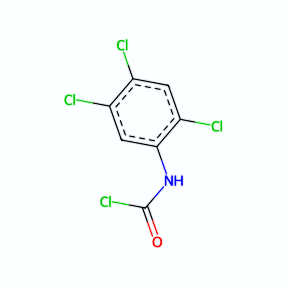 O=C(Cl)Nc1cc(Cl)c(Cl)cc1Cl